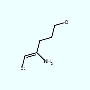 CCC=C(N)CCC[O]